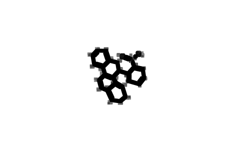 O=[N+]([O-])c1c[c]ccc1C1Cc2ccccc2-c2ccc3c(c21)=CCCC=3